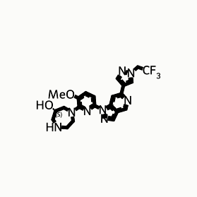 COc1ccc(-n2ncc3cnc(-c4cnn(CC(F)(F)F)c4)cc32)nc1N1CCNC[C@H](O)C1